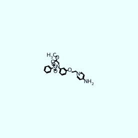 COC(=O)CN(c1cccc(OCC[n+]2ccc(N)cc2)c1)S(=O)(=O)c1ccccc1